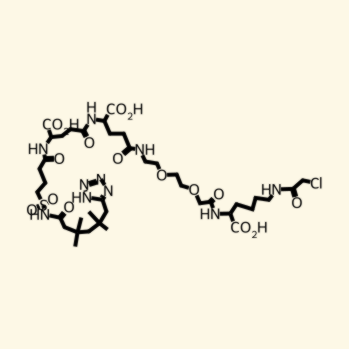 CC(C)(CC(=O)NS(=O)(=O)CCCC(=O)NC(CCC(=O)NC(CCC(=O)NCCOCCOCC(=O)NC(CCCCNC(=O)CCl)C(=O)O)C(=O)O)C(=O)O)CC(C)(C)Cc1nnn[nH]1